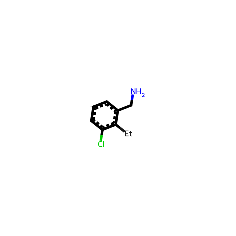 CCc1c(Cl)c[c]cc1CN